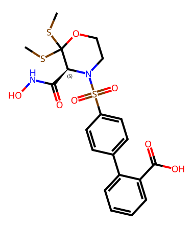 CSC1(SC)OCCN(S(=O)(=O)c2ccc(-c3ccccc3C(=O)O)cc2)[C@H]1C(=O)NO